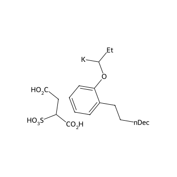 CCCCCCCCCCCCc1ccccc1O[CH]([K])CC.O=C(O)CC(C(=O)O)S(=O)(=O)O